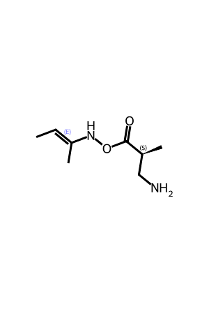 C/C=C(\C)NOC(=O)[C@@H](C)CN